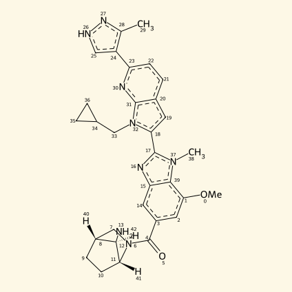 COc1cc(C(=O)N2C[C@H]3CC[C@@H]2[C@@H]3N)cc2nc(-c3cc4ccc(-c5c[nH]nc5C)nc4n3CC3CC3)n(C)c12